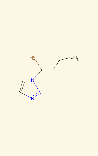 CCCC(S)n1ccnn1